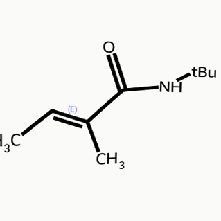 C/C=C(\C)C(=O)NC(C)(C)C